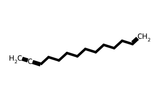 C=C=CCCCCCCCCCC=C